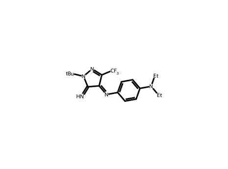 CCN(CC)c1ccc(N=C2C(=N)N(C(C)(C)C)N=C2C(F)(F)F)cc1